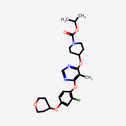 Cc1c(Oc2ccc(OC3CCOCC3)cc2F)ncnc1OC1CCN(C(=O)OC(C)C)CC1